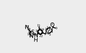 CC(=O)N1CCN(Cc2cc(C)cc(Nc3ncc(C#N)s3)c2)CC1